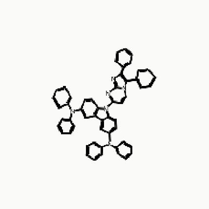 c1ccc(-c2nc3nc(-n4c5ccc(N(c6ccccc6)c6ccccc6)cc5c5cc(N(c6ccccc6)c6ccccc6)ccc54)ccn3c2-c2ccccc2)cc1